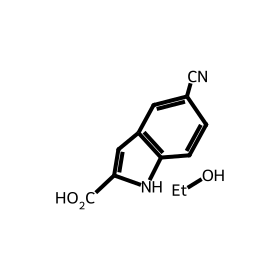 CCO.N#Cc1ccc2[nH]c(C(=O)O)cc2c1